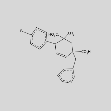 CC1(C(=O)O)CC(Cc2ccccc2)(C(=O)O)C=CC1c1ccc(F)cc1